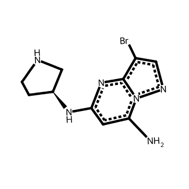 Nc1cc(N[C@H]2CCNC2)nc2c(Br)cnn12